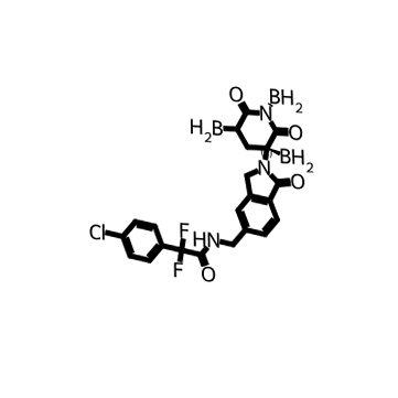 BC1C[C@@](B)(N2Cc3cc(CNC(=O)C(F)(F)c4ccc(Cl)cc4)ccc3C2=O)C(=O)N(B)C1=O